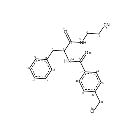 N#CCCNC(=O)C(Cc1ccccc1)NC(=O)c1ccc(CCl)cc1